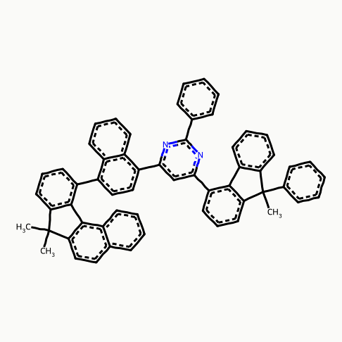 CC1(C)c2cccc(-c3ccc(-c4cc(-c5cccc6c5-c5ccccc5C6(C)c5ccccc5)nc(-c5ccccc5)n4)c4ccccc34)c2-c2c1ccc1ccccc21